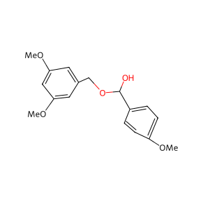 COc1ccc(C(O)OCc2cc(OC)cc(OC)c2)cc1